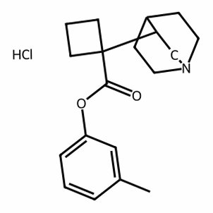 Cc1cccc(OC(=O)C2(C3CN4CCC3CC4)CCC2)c1.Cl